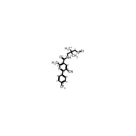 CCSCC(C)(C)CNC(=O)c1cc(C#N)c(-c2ccc(C(F)(F)F)cc2)nc1C